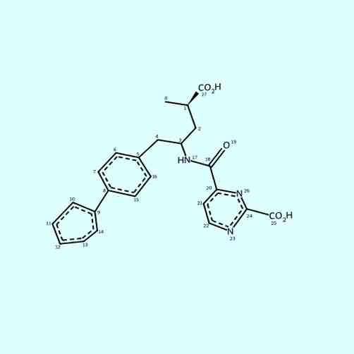 C[C@H](CC(Cc1ccc(-c2ccccc2)cc1)NC(=O)c1ccnc(C(=O)O)n1)C(=O)O